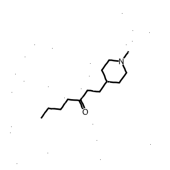 CCCCC(=O)CCC1CCN(C)CC1